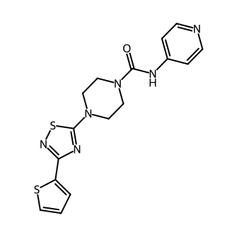 O=C(Nc1ccncc1)N1CCN(c2nc(-c3cccs3)ns2)CC1